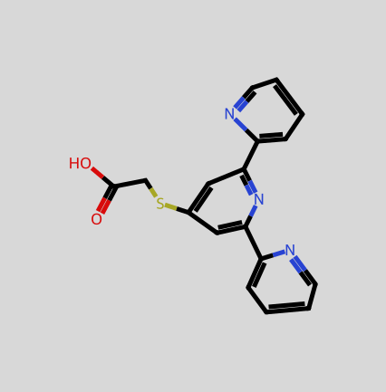 O=C(O)CSc1cc(-c2ccccn2)nc(-c2ccccn2)c1